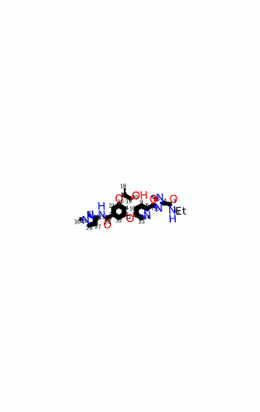 CCNC(=O)c1noc(-c2ccc(Oc3cc(O[C@@H](C)CO)cc(C(=O)Nc4ccn(C)n4)c3)cn2)n1